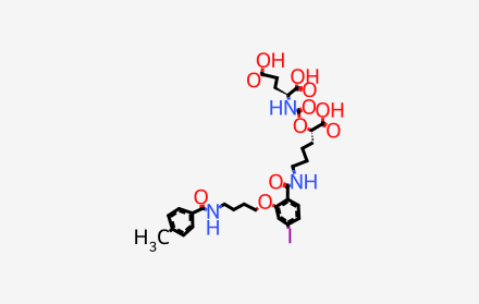 Cc1ccc(C(=O)NCCCCOc2cc(I)ccc2C(=O)NCCCC[C@H](OC(=O)N[C@@H](CCC(=O)O)C(=O)O)C(=O)O)cc1